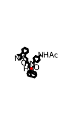 CC(=O)Nc1ccc(NC(=O)NC23CC4CC(C2)C(CCCC(=O)CC2c5ccccc5-c5cncn52)C(C4)C3)cc1